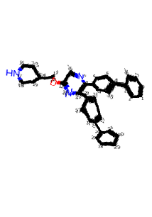 c1ccc(-c2ccc(-c3ncc(OCC4CCNCC4)nc3-c3ccc(-c4ccccc4)cc3)cc2)cc1